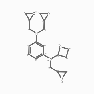 c1cc(N(CC2CO2)CC2CO2)cc(N(CC2CO2)C2CCO2)c1